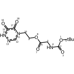 CC(C)(C)OC(=O)NCC(=O)OCCn1[c]n[nH]c(=O)c1=O